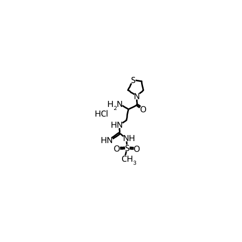 CS(=O)(=O)NC(=N)NCC(N)C(=O)N1CCSC1.Cl